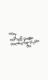 O=C[C@H](O[C@@H](C=O)[C@@H](O)[C@H](O)CO)[C@@H](O)[C@H](O)CO